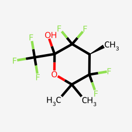 C[C@H]1C(F)(F)C(C)(C)OC(O)(C(F)(F)F)C1(F)F